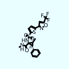 CNC(=O)[C@]1(NS(=O)(=O)c2ccc(-c3cc(C(F)(F)F)on3)s2)C(C)[C@@H]1c1ccccc1